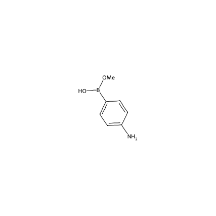 COB(O)c1ccc(N)cc1